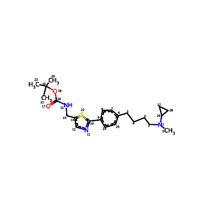 CN(CCCCc1ccc(-c2ncc(CNC(=O)OC(C)(C)C)s2)cc1)C1CC1